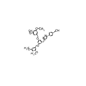 C#Cc1ccc(-c2cn(Cc3cc(OCc4cc(OC)cc(OC)c4)cc(OCc4cc(OC)cc(OC)c4)c3)nn2)cc1